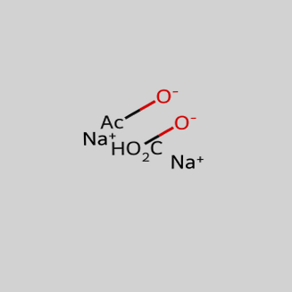 CC(=O)[O-].O=C([O-])O.[Na+].[Na+]